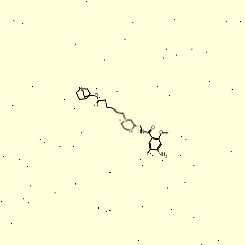 COc1cc(N)c(I)cc1C(=O)NC[C@H]1CN(CCCCCC(=O)OC2CN3CCC2CC3)CCO1